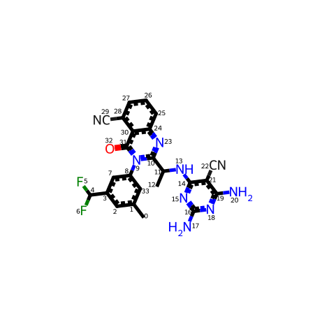 Cc1cc(C(F)F)cc(-n2c(C(C)Nc3nc(N)nc(N)c3C#N)nc3cccc(C#N)c3c2=O)c1